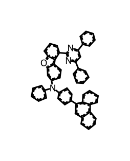 c1ccc(-c2cc(-c3ccccc3)nc(-c3cccc4oc5cc(N(c6ccccc6)c6ccc(-c7cc8ccccc8c8ccccc78)cc6)ccc5c34)n2)cc1